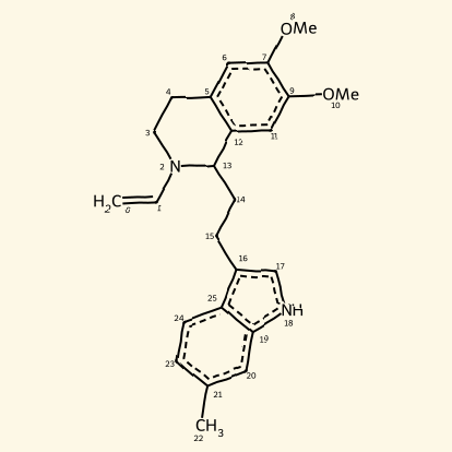 C=CN1CCc2cc(OC)c(OC)cc2C1CCc1c[nH]c2cc(C)ccc12